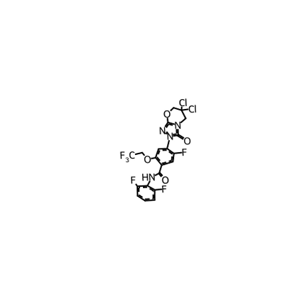 O=C(Nc1c(F)cccc1F)c1cc(F)c(-n2nc3n(c2=O)CC(Cl)(Cl)CO3)cc1OCC(F)(F)F